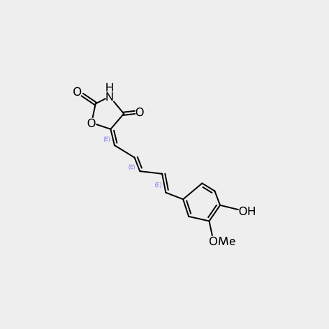 COc1cc(/C=C/C=C/C=C2/OC(=O)NC2=O)ccc1O